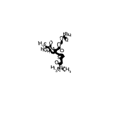 C[C@@H](O)[C@H]1C(=O)N2C(C(=O)OCOC(=O)C(C)(C)C)=C(c3ccc(CC(=O)N(C)C)s3)C[C@H]12